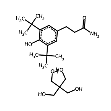 CC(C)(C)c1cc(CCC(N)=O)cc(C(C)(C)C)c1O.OCC(CO)(CO)CO